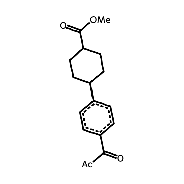 COC(=O)C1CCC(c2ccc(C(=O)C(C)=O)cc2)CC1